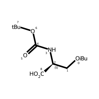 CC(C)COC[C@H](NC(=O)OC(C)(C)C)C(=O)O